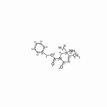 CC1=CC(=O)N(C(=O)OCc2ccccc2)CC1(C)N